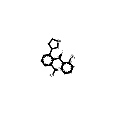 NC(=O)c1cccc(C2CCNC2)c1C(=O)c1ccccc1C(F)(F)F